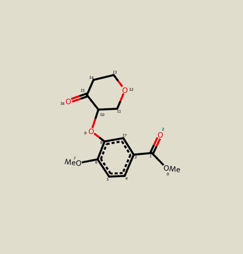 COC(=O)c1ccc(OC)c(OC2COCCC2=O)c1